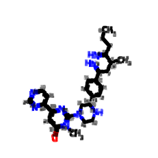 CCCC(=N)[C@@H](C)CC(=N)c1ccc([C@H]2CN(c3nc(-c4ccncn4)cc(=O)n3C)CCN2)cc1